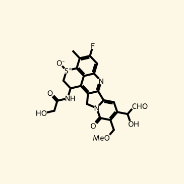 COCc1c(C(O)C=O)cc2n(c1=O)Cc1c-2nc2cc(F)c(C)c3c2c1C(NC(=O)CO)C[S+]3[O-]